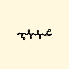 C=CN(C=O)CCC(=O)NCCNC(=O)CCN(C=C)C=O